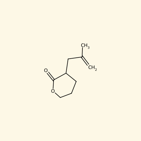 C=C(C)CC1CCCOC1=O